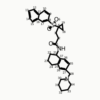 O=C(CCC1(S(=O)(=O)c2ccc3ccccc3c2)CC1)NC1CCCc2cc(CN3CCCCC3)ccc21